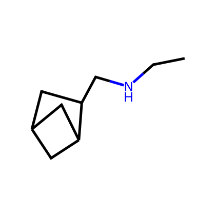 CCNCC1CC2CC1C2